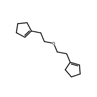 C1=C(CCOCCC2=CCCC2)CCC1